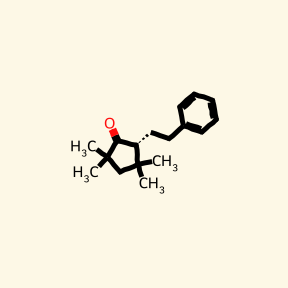 CC1(C)CC(C)(C)[C@@H](CCc2ccccc2)C1=O